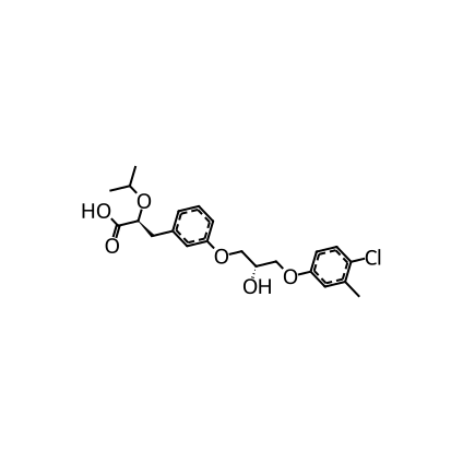 Cc1cc(OC[C@H](O)COc2cccc(C[C@H](OC(C)C)C(=O)O)c2)ccc1Cl